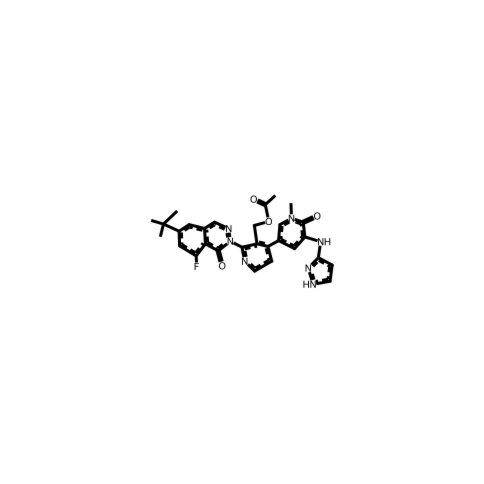 CC(=O)OCc1c(-c2cc(Nc3cc[nH]n3)c(=O)n(C)c2)ccnc1-n1ncc2cc(C(C)(C)C)cc(F)c2c1=O